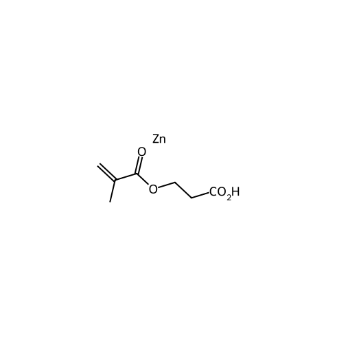 C=C(C)C(=O)OCCC(=O)O.[Zn]